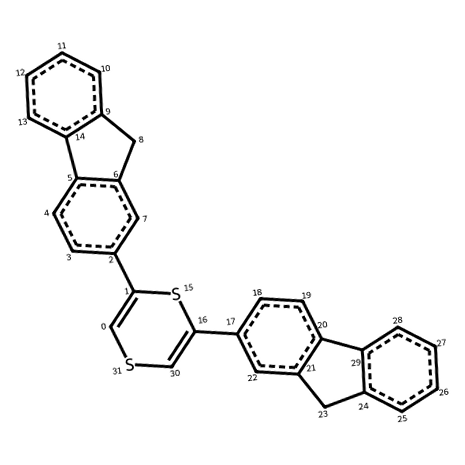 C1=C(c2ccc3c(c2)Cc2ccccc2-3)SC(c2ccc3c(c2)Cc2ccccc2-3)=CS1